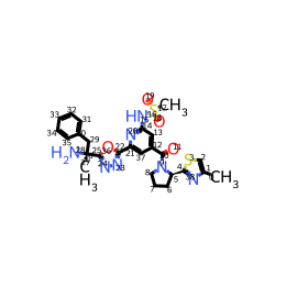 Cc1csc([C@H]2CCCN2C(=O)c2cc(NS(C)(=O)=O)nc(-c3nnc([C@](C)(N)Cc4ccccc4)o3)c2)n1